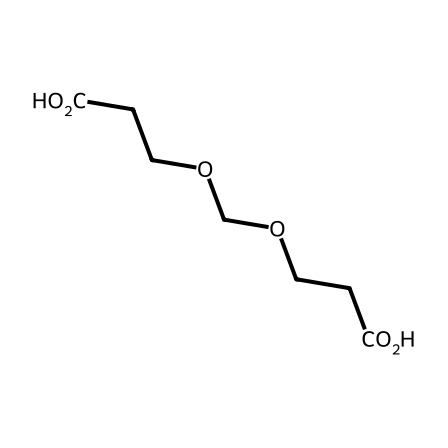 O=C(O)CCOCOCCC(=O)O